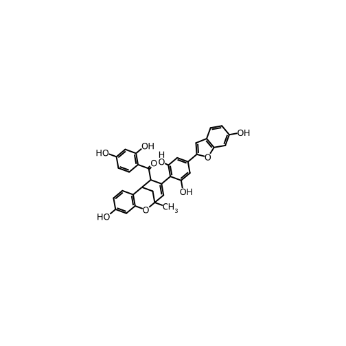 CC12C=C(c3c(O)cc(-c4cc5ccc(O)cc5o4)cc3O)C(C(=O)c3ccc(O)cc3O)C(C1)c1ccc(O)cc1O2